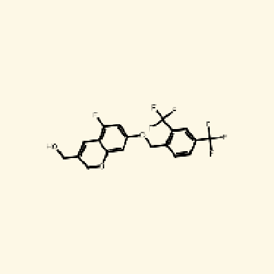 OCC1=Cc2c(F)cc(OCc3ccc(C(F)(F)F)cc3C(F)(F)F)cc2OC1